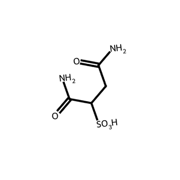 NC(=O)CC(C(N)=O)S(=O)(=O)O